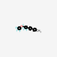 Cc1ccc(-c2ccc(-c3ccc(C(F)(F)Oc4cc(F)c(F)c(F)c4)c(F)c3F)cc2)cc1